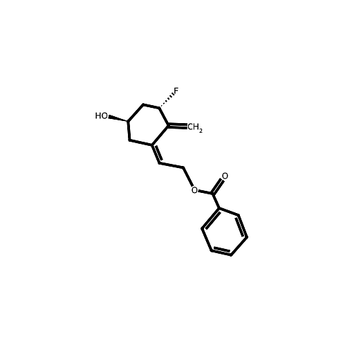 C=C1/C(=C\COC(=O)c2ccccc2)C[C@@H](O)C[C@@H]1F